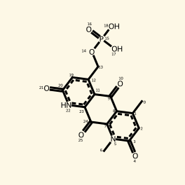 Cc1cc(=O)n(C)c2c1C(=O)c1c(COP(=O)(O)O)cc(=O)[nH]c1C2=O